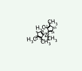 CC1=C(C)[C]([Zr]([CH3])[C]2=CCC(C)=C2C)=CC1